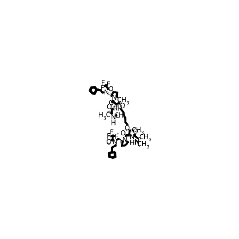 CN[C@@H](C)C(=O)N[C@H](C(=O)N1CCC[C@H]1CN(CCc1ccccc1)C(=O)C(F)(F)F)[C@@H](C)OCCCCCCO[C@H](C)[C@H](NC(=O)[C@H](C)NC)C(=O)N1CCC[C@H]1CN(CCc1ccccc1)C(=O)C(F)(F)F